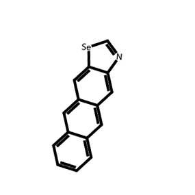 c1ccc2cc3cc4[se]cnc4cc3cc2c1